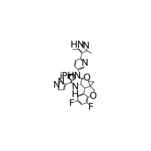 Cc1n[nH]c(C)c1-c1ccc(NC(=O)[C@@H](NC(=O)c2ccnn2C(C)C)C2c3cc(F)cc(F)c3OCC23CC3)cn1